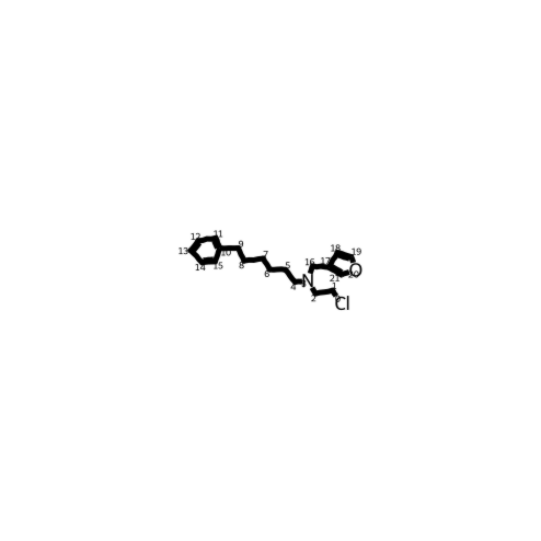 ClCCN(CCCCCCc1ccccc1)Cc1ccoc1